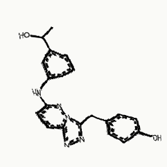 CC(O)c1cccc(Nc2ccc3nnc(Cc4ccc(O)cc4)n3n2)c1